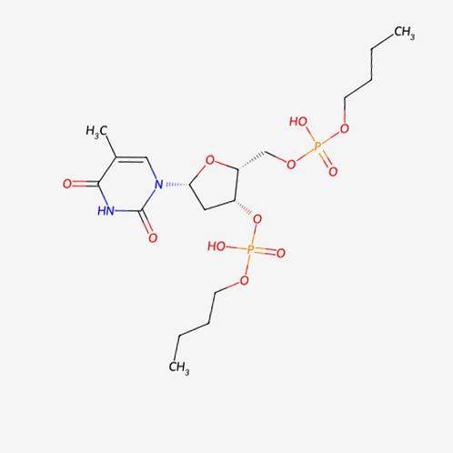 CCCCOP(=O)(O)OC[C@H]1O[C@@H](n2cc(C)c(=O)[nH]c2=O)C[C@H]1OP(=O)(O)OCCCC